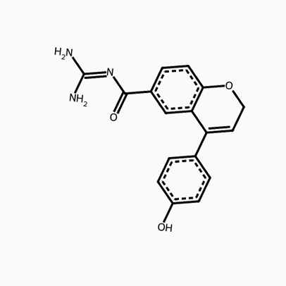 NC(N)=NC(=O)c1ccc2c(c1)C(c1ccc(O)cc1)=CCO2